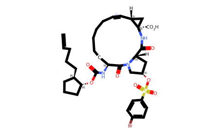 C=CCCC[C@@H]1CCC[C@H]1OC(=O)N[C@H]1CCCCC/C=C\[C@@H]2C[C@@]2(C(=O)O)NC(=O)[C@@H]2C[C@H](OS(=O)(=O)c3ccc(Br)cc3)CN2C1=O